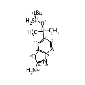 CC(C)(C)[SiH2]OC(C)(C)c1ccc2nc(N)oc2c1